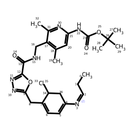 CC/C=N\C1=CC=C(Cc2nnc(C(=O)NCc3c(C)cc(NC(=O)OC(C)(C)C)nc3C)o2)C(Cl)C1